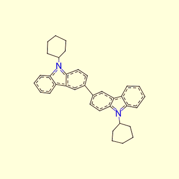 c1ccc2c(c1)c1cc(-c3ccc4c(c3)c3ccccc3n4C3CCCCC3)ccc1n2C1CCCCC1